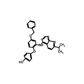 CC(C)c1ccc2c(Nc3cc(OCc4ccccc4)ccc3Oc3ccc(O)cc3)ncnc2n1